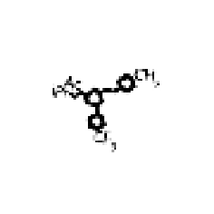 CC(=O)C(CC(C)C)c1cc(CCc2ccc(C)cc2)cc(-c2ccc(C(F)(F)F)cc2)c1